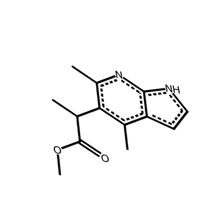 COC(=O)C(C)c1c(C)nc2[nH]ccc2c1C